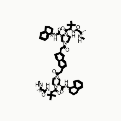 CN[C@@H](C)C(=O)N[C@H](C(=O)N1CCN(C(=O)Cc2ccc3cc(CC(=O)N4CCN(C(=O)[C@@H](NC(=O)[C@H](C)NC)C(C)(C)C)[C@H](C(=O)N[C@@H]5CCCc6ccccc65)C4)ccc3c2)C[C@H]1C(=O)N[C@@H]1CCCc2ccccc21)C(C)(C)C